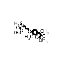 Cc1c(C)c2ccc(OCCCN(C)C(=O)OC(C)(C)C)c(C)c2oc1=O